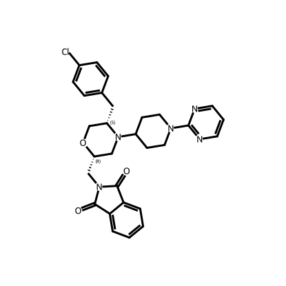 O=C1c2ccccc2C(=O)N1C[C@H]1CN(C2CCN(c3ncccn3)CC2)[C@@H](Cc2ccc(Cl)cc2)CO1